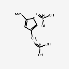 CSc1cc(C)cs1.O=[PH](O)O.O=[PH](O)O